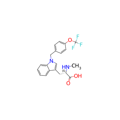 CN[C@@H](Cc1cn(Cc2ccc(OC(F)(F)F)cc2)c2ccccc12)C(=O)O